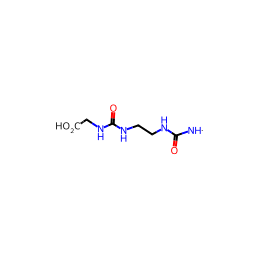 [NH]C(=O)NCCNC(=O)NCC(=O)O